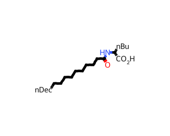 CCCCCCCCCCCCCCCCCCCC(=O)NC(CCCC)C(=O)O